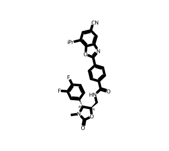 CC(C)c1cc(C#N)cc2nc(-c3ccc(C(=O)NC[C@H]4OC(=O)N(C)[C@@H]4c4ccc(F)c(F)c4)cc3)oc12